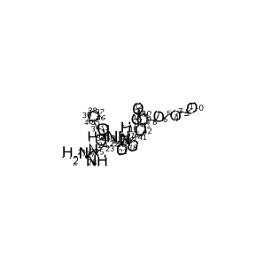 COCCOCCOCc1cc(=O)oc2cc(C(=O)NC(=O)[C@H](CCCNC(=N)N)NC(=O)OCc3ccccc3)ccc12